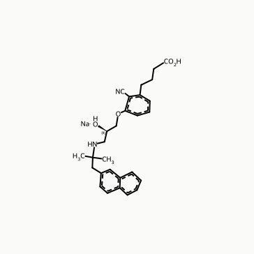 CC(C)(Cc1ccc2ccccc2c1)NC[C@@H](O)COc1cccc(CCCC(=O)O)c1C#N.[Na]